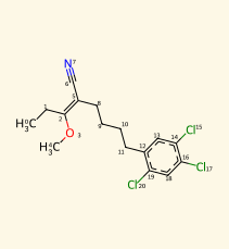 CCC(OC)=C(C#N)CCCCc1cc(Cl)c(Cl)cc1Cl